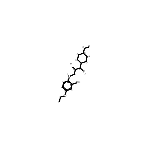 CCOc1ccc(OCC(F)C(F)C2CCC(CC)CC2)c(F)c1